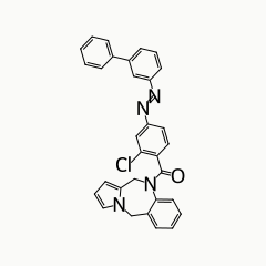 O=C(c1ccc(/N=N/c2cccc(-c3ccccc3)c2)cc1Cl)N1Cc2cccn2Cc2ccccc21